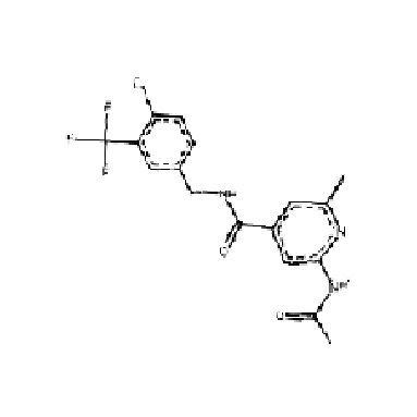 CC(=O)Nc1cc(C(=O)NCc2ccc(Cl)c(C(F)(F)F)c2)cc(C)n1